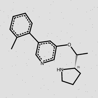 Cc1ccccc1-c1cncc(OC(C)[C@@H]2CCCN2)c1